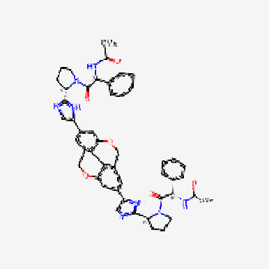 COC(=O)N[C@H](C(=O)N1CCC[C@H]1c1ncc(-c2cc3c4c(c2)OCc2cc(-c5cnc([C@@H]6CCCN6C(=O)[C@@H](NC(=O)OC)c6ccccc6)[nH]5)cc(c2-4)OC3)[nH]1)c1ccccc1